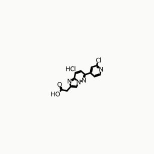 Cl.O=C(O)Cc1cn2nc(-c3ccnc(Cl)c3)ccc2n1